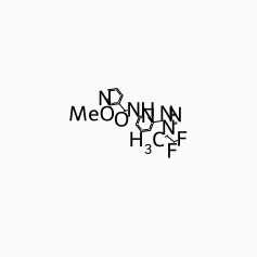 COc1ncccc1C(=O)Nc1cccc(-c2nncn2C(C)C(F)F)n1